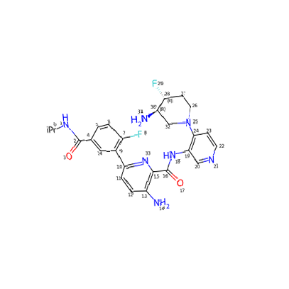 CC(C)NC(=O)c1ccc(F)c(-c2ccc(N)c(C(=O)Nc3cnccc3N3CC[C@@H](F)[C@H](N)C3)n2)c1